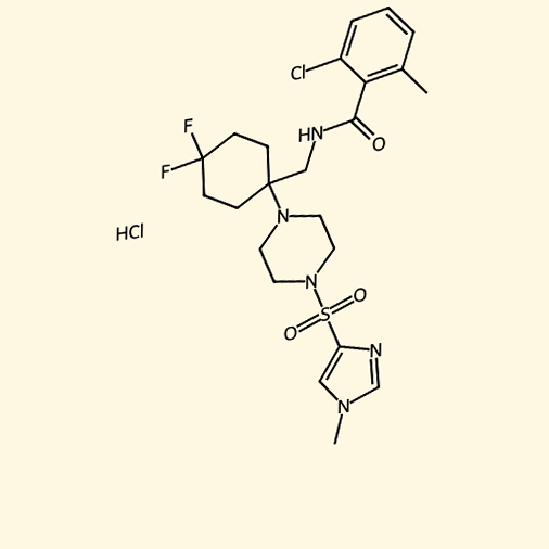 Cc1cccc(Cl)c1C(=O)NCC1(N2CCN(S(=O)(=O)c3cn(C)cn3)CC2)CCC(F)(F)CC1.Cl